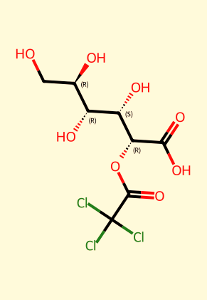 O=C(O)[C@H](OC(=O)C(Cl)(Cl)Cl)[C@@H](O)[C@H](O)[C@H](O)CO